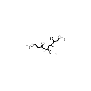 CCCC(=O)OC(C)COC(=O)CC